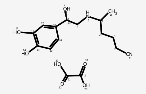 CC(CCCC#N)NC[C@H](O)c1ccc(O)c(O)c1.O=C(O)C(=O)O